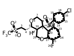 O=S(=O)(CC[C@@H]1OCC[C@@]2(S(=O)(=O)c3ccc(Cl)cc3)c3c(F)ccc(F)c3OC[C@@H]12)C(F)(F)F